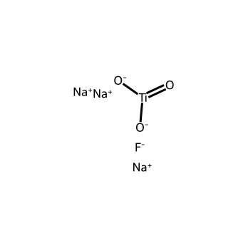 [F-].[Na+].[Na+].[Na+].[O]=[Ti]([O-])[O-]